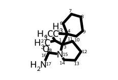 CC(C)C1(C2(C)CCCCC2)CCCCN1C(N)=O